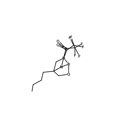 CCCCC12COB(N(C(=O)C(F)(F)F)C1)N(C(=O)C(F)(F)F)C2